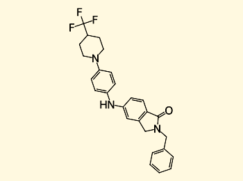 O=C1c2ccc(Nc3ccc(N4CCC(C(F)(F)F)CC4)cc3)cc2CN1Cc1ccccc1